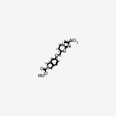 CC(C)(C)OC(=O)N1Cc2ccc(OCC3CCn4cc([N+](=O)[O-])nc4O3)cc2C1